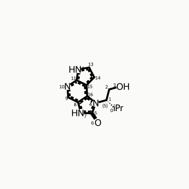 CC(C)[C@@H](CO)n1c(=O)[nH]c2cnc3[nH]ccc3c21